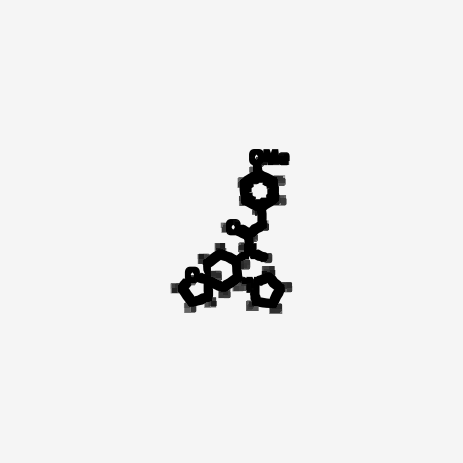 COc1ccc(CC(=O)N(C)[C@@H]2CC[C@]3(CCCO3)C[C@H]2N2CCCC2)cc1